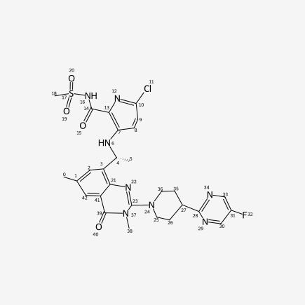 Cc1cc([C@@H](C)Nc2ccc(Cl)nc2C(=O)NS(C)(=O)=O)c2nc(N3CCC(c4ncc(F)cn4)CC3)n(C)c(=O)c2c1